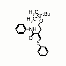 CC(C)(C)[Si](C)(C)OCC/C(=C/Sc1ccccc1)C(=O)Nc1ccccc1